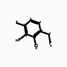 Cc1ccc(CF)c(Cl)c1F